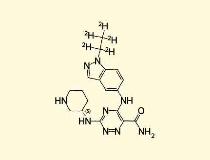 [2H]C([2H])([2H])C([2H])([2H])n1ncc2cc(Nc3nc(N[C@H]4CCCNC4)nnc3C(N)=O)ccc21